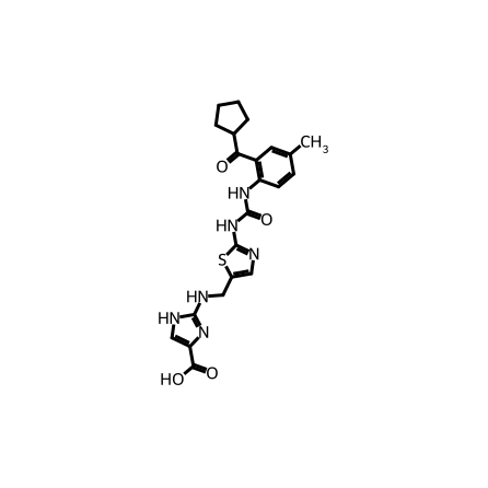 Cc1ccc(NC(=O)Nc2ncc(CNc3nc(C(=O)O)c[nH]3)s2)c(C(=O)C2CCCC2)c1